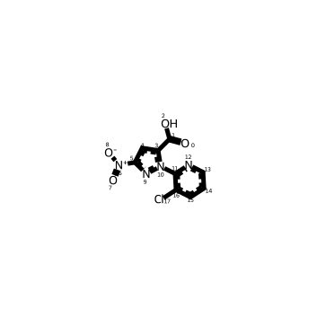 O=C(O)c1cc([N+](=O)[O-])nn1-c1ncccc1Cl